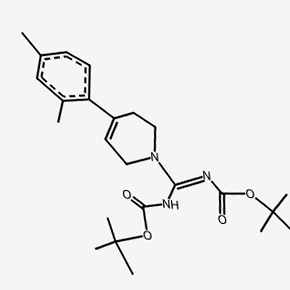 Cc1ccc(C2=CCN(C(=NC(=O)OC(C)(C)C)NC(=O)OC(C)(C)C)CC2)c(C)c1